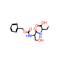 CCC(NC(=O)C(CO)NC(=O)OCc1ccccc1)C(=O)O